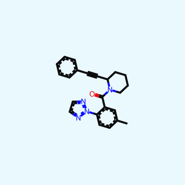 Cc1ccc(-n2nccn2)c(C(=O)N2CCCCC2C#Cc2ccccc2)c1